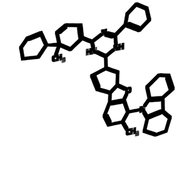 CC1C=CC2=C(OC3CC(C4NC(C5=CCCCC5)=NC(C5=CC=CC(C)([C@@H]6C=CCCC6)C5)N4)C=CC23)C1n1c2c(c3c1CCCC3)C=CCC2